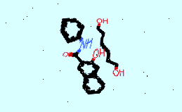 O=C(Nc1ccccc1)c1cc2ccccc2cc1O.OCCCCCCO